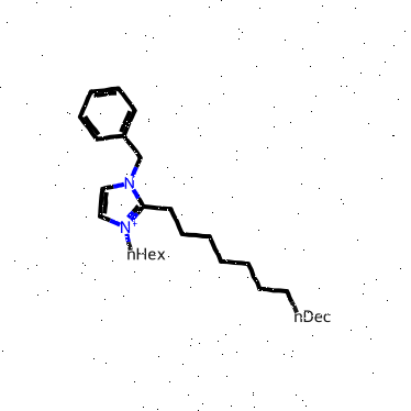 CCCCCCCCCCCCCCCCCc1n(Cc2ccccc2)cc[n+]1CCCCCC